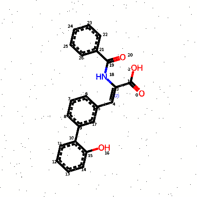 O=C(O)/C(=C/c1cccc(-c2ccccc2O)c1)NC(=O)c1ccccc1